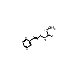 CC(O[SiH3])OCC=Cc1ccccc1